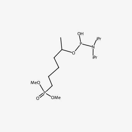 COP(=O)(CCCCC(C)OP(O)N(C(C)C)C(C)C)OC